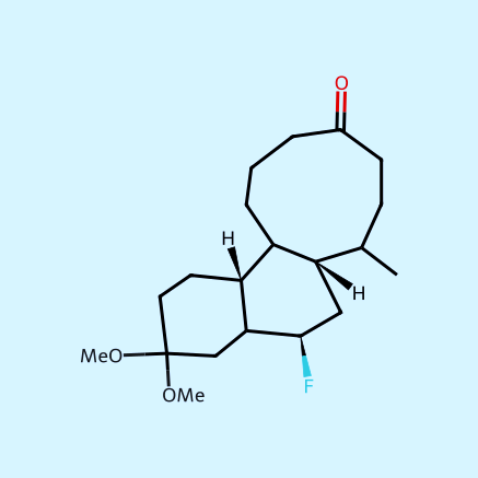 COC1(OC)CC[C@@H]2C3CCCC(=O)CCC(C)[C@@H]3C[C@@H](F)C2C1